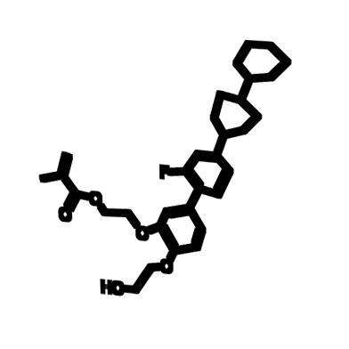 C=C(C)C(=O)OCCOc1cc(-c2ccc(C3CCC(C4CCCCC4)CC3)cc2F)ccc1OCCO